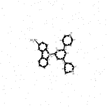 Nc1ccc2c(c1)c1ccccc1n2-c1cc(-c2ccncc2)cc(-c2ccncc2)n1